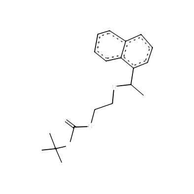 CC(NCCNC(=O)OC(C)(C)C)c1cccc2ccccc12